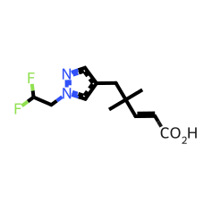 CC(C)(/C=C/C(=O)O)Cc1cnn(CC(F)F)c1